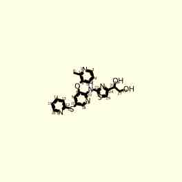 Cc1ncccc1Oc1cc(Sc2ccccn2)cnc1Nc1nc(C(O)CO)cs1